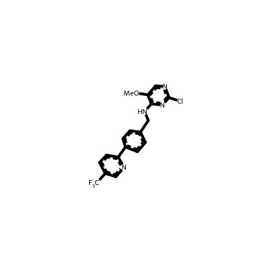 COc1cnc(Cl)nc1NCc1ccc(-c2ccc(C(F)(F)F)cn2)cc1